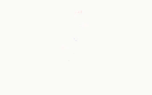 C=C(C)C(=O)NCC(O)CO